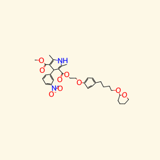 COC(=O)C1=C(C)NC(C)=C(C(=O)OCCOc2ccc(CCCCOC3CCCCO3)cc2)C1c1cccc([N+](=O)[O-])c1